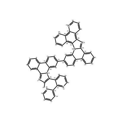 Cc1nc2c3ccccc3c3ccc(-c4ccc5c6ccccc6c6nc7c8cccnc8c8ncccc8c7n6c5c4)cc3n2c1-c1cccnc1-c1ccccn1